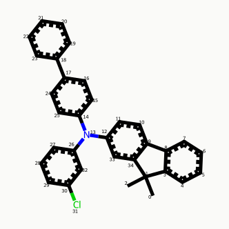 CC1(C)c2ccccc2-c2ccc(N(c3ccc(-c4ccccc4)cc3)c3cccc(Cl)c3)cc21